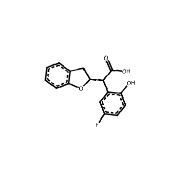 O=C(O)C(c1cc(F)ccc1O)C1Cc2ccccc2O1